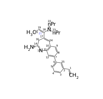 C=Cc1cccc(-c2ccc3c(c2)N=C(N)CC(/C(=C\C)N(CCC)CCC)=C3)c1